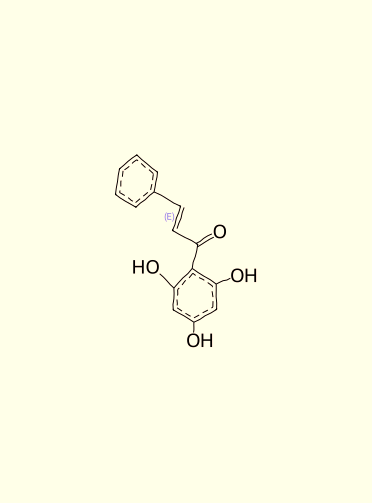 O=C(/C=C/c1ccccc1)c1c(O)cc(O)cc1O